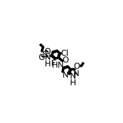 CCCS(=O)(=O)Nc1ccc(Cl)c(C(=O)Nc2cnc3[nH]nc(OCC)c3c2)c1F